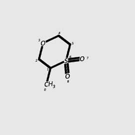 CC1COCCS1(=O)=O